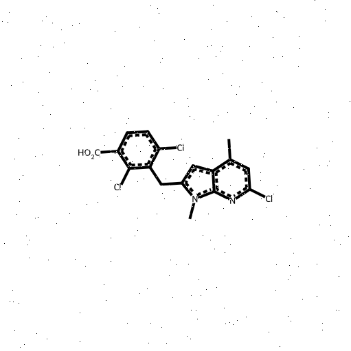 Cc1cc(Cl)nc2c1cc(Cc1c(Cl)ccc(C(=O)O)c1Cl)n2C